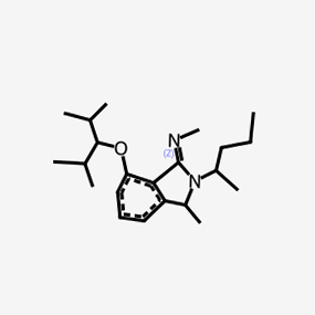 CCCC(C)N1/C(=N\C)c2c(OC(C(C)C)C(C)C)cccc2C1C